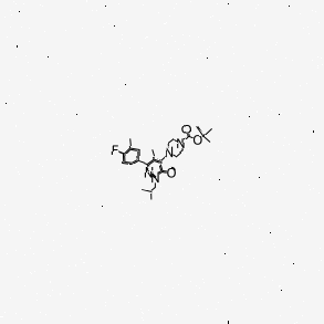 Cc1cc(-c2nn(CC(C)C)c(=O)c(N3CCN(C(=O)OC(C)(C)C)CC3)c2C)ccc1F